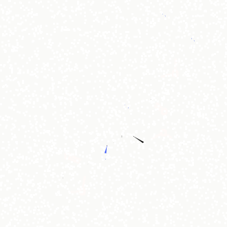 COC[C@H]1[C@@H](NC(=O)OC(C)(C)C)CCCN1C(=O)COc1nccnc1C